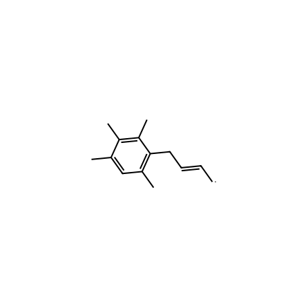 [CH2]C=CCc1c(C)cc(C)c(C)c1C